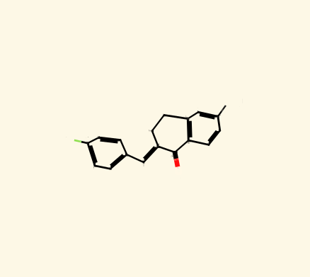 O=C(O)c1ccc2c(c1)CCC(=Cc1ccc(F)cc1)C2=O